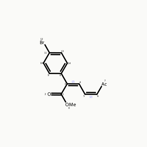 COC(=O)/C(=C\C=C/C(C)=O)c1ccc(Br)cc1